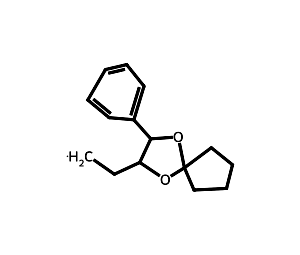 [CH2]CC1OC2(CCCC2)OC1c1ccccc1